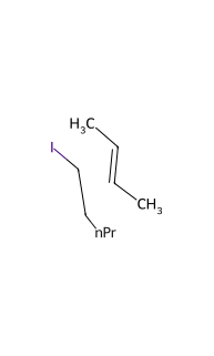 CC=CC.CCCCCI